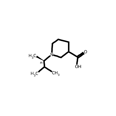 CC(C)[C@@H](C)N1CCCC(C(=O)O)C1